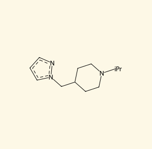 CC(C)N1CCC(Cn2cccn2)CC1